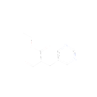 CCOC(=O)C(C=O)Cc1cncnc1